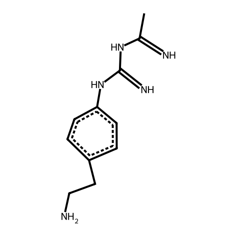 CC(=N)NC(=N)Nc1ccc(CCN)cc1